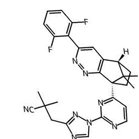 CC(C)(C#N)Cc1ncn(-c2nccc([C@]34CC[C@@H](c5cc(-c6c(F)cccc6F)nnc53)C4(C)C)n2)n1